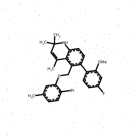 COc1cc(F)ccc1-c1ccc2c(c1COc1cc(C)ccc1C(C)C)C(C)=CC(C)(C)N2